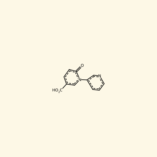 O=C(O)c1ccc(=O)n(-c2cccnc2)c1